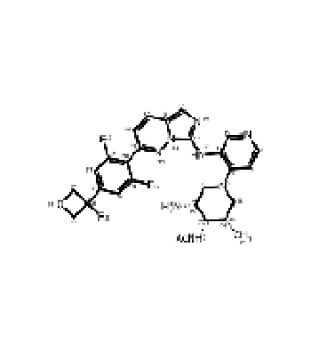 CC(=O)N[C@@H]1[C@H](N)CN(c2ccncc2Nc2ncc3ccc(-c4c(F)cc(C5(F)COC5)cc4F)nn23)C[C@@H]1C